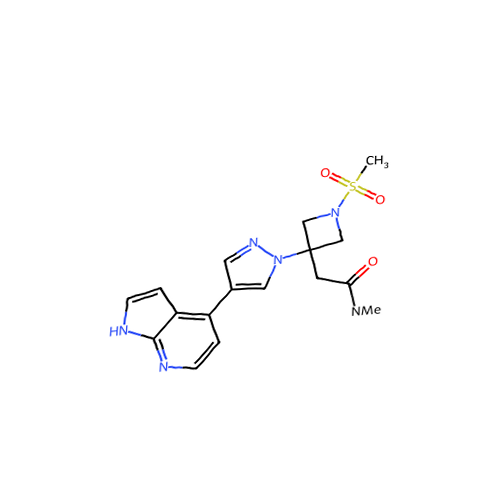 CNC(=O)CC1(n2cc(-c3ccnc4[nH]ccc34)cn2)CN(S(C)(=O)=O)C1